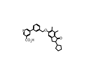 Cc1c(OCc2cccc(-c3cncc(C(=O)O)c3)c2)cc2c(c1C)C(=O)C(C1CCCC1)C2